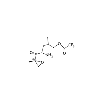 CC(COC(=O)C(F)(F)F)CC(N)C(=O)[C@@]1(C)CO1